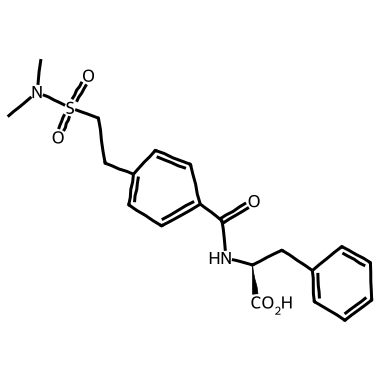 CN(C)S(=O)(=O)CCc1ccc(C(=O)N[C@@H](Cc2ccccc2)C(=O)O)cc1